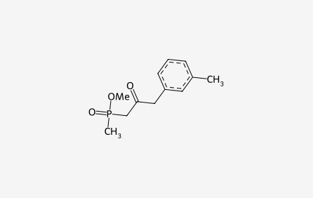 COP(C)(=O)CC(=O)Cc1cccc(C)c1